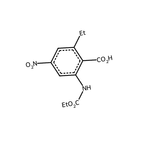 CCOC(=O)Nc1cc([N+](=O)[O-])cc(CC)c1C(=O)O